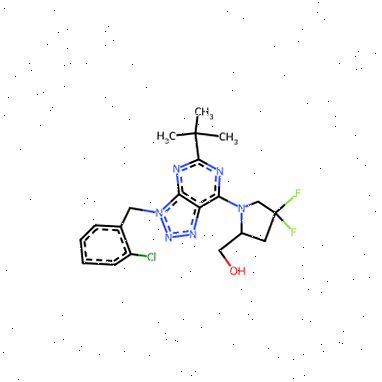 CC(C)(C)c1nc(N2CC(F)(F)CC2CO)c2nnn(Cc3ccccc3Cl)c2n1